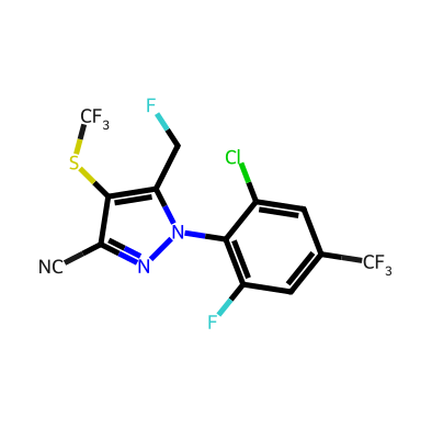 N#Cc1nn(-c2c(F)cc(C(F)(F)F)cc2Cl)c(CF)c1SC(F)(F)F